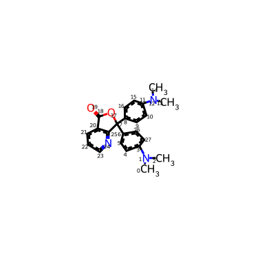 CN(C)c1ccc(C2(c3ccc(N(C)C)cc3)OC(=O)c3cccnc32)cc1